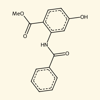 COC(=O)c1ccc(O)cc1NC(=O)c1ccccc1